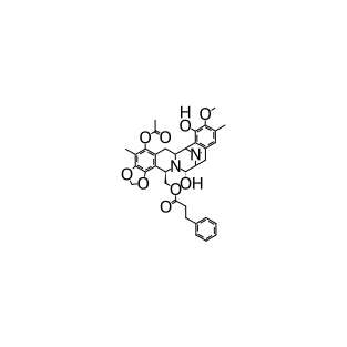 COc1c(C)cc2c(c1O)C1C3Cc4c(OC(C)=O)c(C)c5c(c4[C@H](COC(=O)CCc4ccccc4)N3[C@@H](O)C(C2)N1C)OCO5